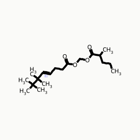 CCCC(C)C(=O)OCOC(=O)CC/C=C/C(C)(C)C(C)(C)C